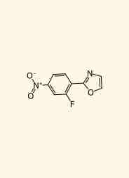 O=[N+]([O-])c1ccc(-c2ncco2)c(F)c1